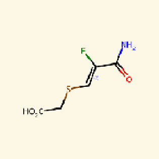 NC(=O)/C(F)=C/SCC(=O)O